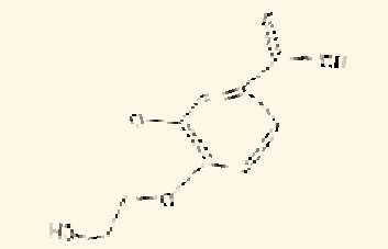 O=C(O)c1ccc(OCCO)c(Cl)c1